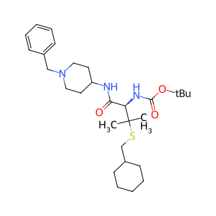 CC(C)(C)OC(=O)N[C@H](C(=O)NC1CCN(Cc2ccccc2)CC1)C(C)(C)SCC1CCCCC1